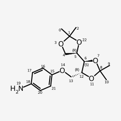 CC1(C)OC[C@H]([C@H]2OC(C)(C)O[C@@H]2COc2ccc(N)cc2)O1